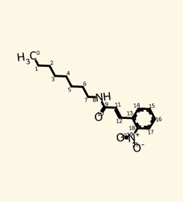 CCCCCCCCNC(=O)/C=C/c1ccccc1[N+](=O)[O-]